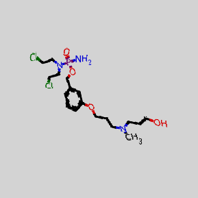 CN(CC[C]O)CCCOc1cccc(COP(N)(=O)N(CCCl)CCCl)c1